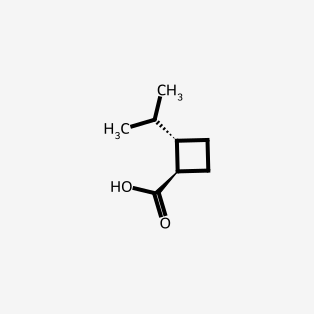 CC(C)[C@@H]1CC[C@H]1C(=O)O